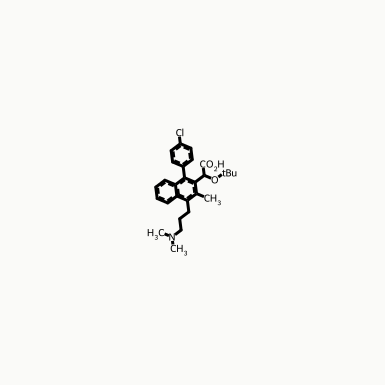 Cc1c(C(OC(C)(C)C)C(=O)O)c(-c2ccc(Cl)cc2)c2ccccc2c1CCCN(C)C